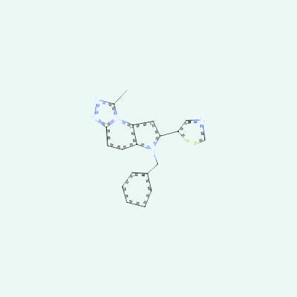 Cc1nnc2ccc3c(cc(-c4cncs4)n3Cc3ccccc3)n12